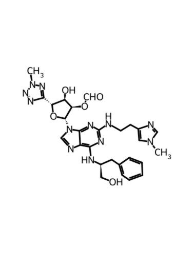 Cn1cnc(CCNc2nc(N[C@H](CO)Cc3ccccc3)c3ncn([C@@H]4O[C@H](c5nnn(C)n5)[C@@H](O)[C@H]4OC=O)c3n2)c1